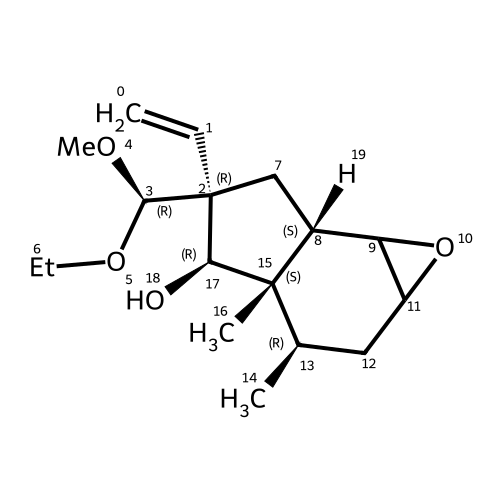 C=C[C@]1([C@H](OC)OCC)C[C@@H]2C3OC3C[C@@H](C)[C@]2(C)[C@H]1O